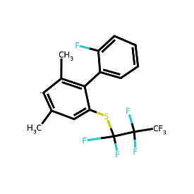 Cc1[c]c(C)c(-c2ccccc2F)c(SC(F)(F)C(F)(F)C(F)(F)F)c1